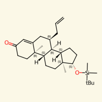 C=CC[C@@H]1CC2=CC(=O)CC[C@]2(C)[C@H]2CC[C@]3(C)[C@@H](O[Si](C)(C)C(C)(C)C)CC[C@H]3[C@H]12